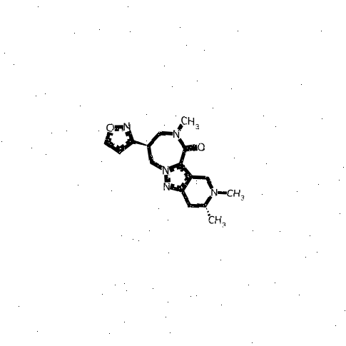 C[C@@H]1Cc2nn3c(c2CN1C)C(=O)N(C)C[C@H](c1ccon1)C3